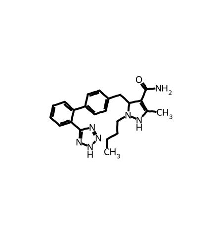 CCCCN1NC(C)=C(C(N)=O)C1Cc1ccc(-c2ccccc2-c2nn[nH]n2)cc1